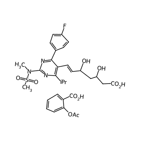 CC(=O)Oc1ccccc1C(=O)O.CC(C)c1nc(N(C)S(C)(=O)=O)nc(-c2ccc(F)cc2)c1/C=C/C(O)CC(O)CC(=O)O